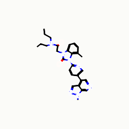 CCCN(CCC)C(=O)Cn1c(=O)n(-c2ccc(-c3cncc4c3cnn4C)cn2)c2c(C)cccc21